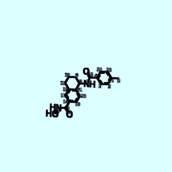 Cc1ccc(C(=O)NC2CCCc3cc(C(=O)NO)ccc32)cc1